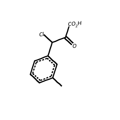 Cc1cccc(C(Cl)C(=O)C(=O)O)c1